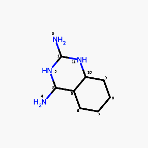 NC1NC(N)C2CCCCC2N1